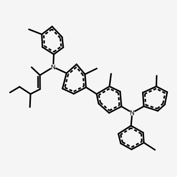 CCC(C)/C=C(\C)N(c1cccc(C)c1)c1ccc(-c2ccc(N(c3cccc(C)c3)c3cccc(C)c3)cc2C)c(C)c1